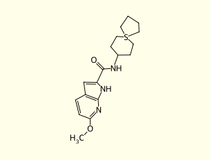 COc1ccc2cc(C(=O)NC3CCS4(CCCC4)CC3)[nH]c2n1